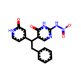 O=c1cc(C(Cc2ccccc2)c2cnc(N[N+](=O)[O-])[nH]c2=O)cc[nH]1